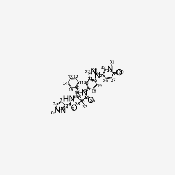 Cn1ccc(C(=O)N[C@@H]2[C@@H](c3ccccc3)N(c3ccc4c(cnn4-c4ccc(=O)n(C)c4)c3)C(=O)C2(C)C)n1